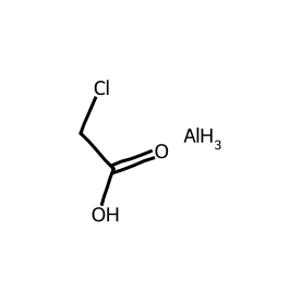 O=C(O)CCl.[AlH3]